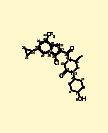 CC1CN(C2CCC(O)CC2)C(=O)CN1C(=O)c1nc2c(C(F)(F)F)cc(C3CC3)cn2c1Cl